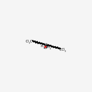 ClC(Cl)(Cl)CCCCCCCCCCCCOCCCCCCCCCCCCC(Cl)(Cl)Cl.O.[AlH3].[Zr]